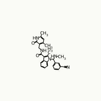 CNC(c1cccc(C#N)c1)n1c(C)c(C(=O)NCc2c(C)cc(C)[nH]c2=O)c2ccccc21